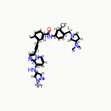 Cc1ccc(C(=O)Nc2ccc(CN3CCC(N(C)C)C3)c(C(F)(F)F)c2)cc1C#Cc1cnc2c(Nc3cnn(C(C)C)c3)cccn12